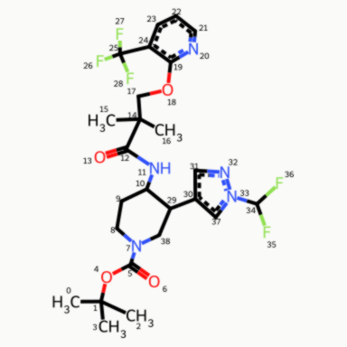 CC(C)(C)OC(=O)N1CCC(NC(=O)C(C)(C)COc2ncccc2C(F)(F)F)C(c2cnn(C(F)F)c2)C1